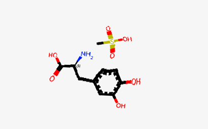 CS(=O)(=O)O.N[C@@H](Cc1ccc(O)c(O)c1)C(=O)O